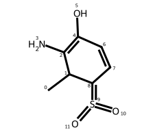 CC1C(N)=C(O)C=CC1=S(=O)=O